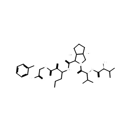 CCCC(NC(=O)C1[C@H]2CCC[C@H]2CN1C(=O)[C@@H](NC(=O)[C@@H](O)C(C)C)C(C)C)C(=O)C(=O)N[C@@H](Cc1ccccc1)C(=O)O